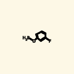 BOc1cccc(F)c1